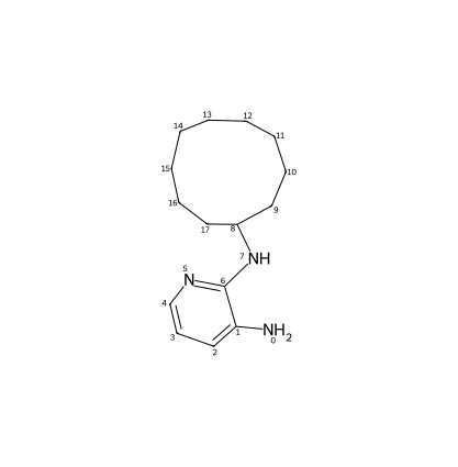 Nc1cccnc1NC1CCCCCCCCC1